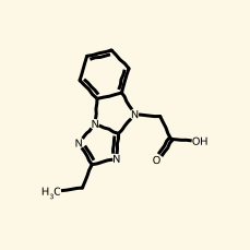 CCc1nc2n(CC(=O)O)c3ccccc3n2n1